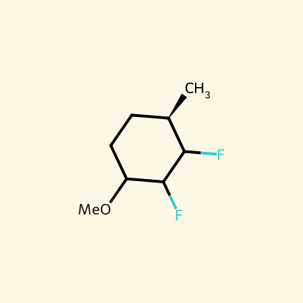 COC1CC[C@@H](C)C(F)C1F